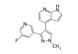 Cn1cc(-c2ccnc3[nH]ccc23)c(-c2cncc(F)c2)n1